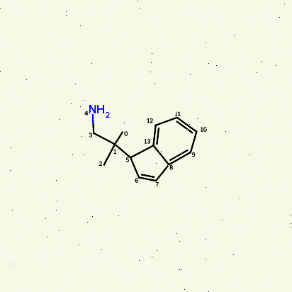 CC(C)(CN)C1C=Cc2ccccc21